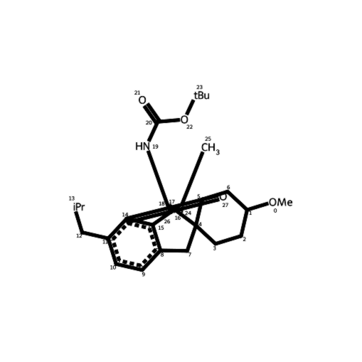 COC1CCC2(CC1)Cc1ccc(CC(C)C)cc1C21N=C(NC(=O)OC(C)(C)C)N(C)C1=O